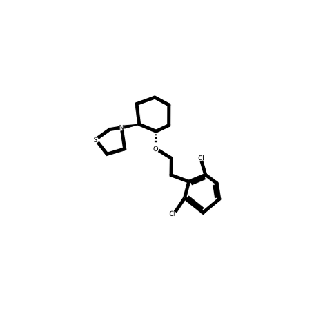 Clc1cccc(Cl)c1CCO[C@H]1CCCC[C@@H]1N1CCSC1